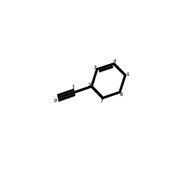 C#CC1C=[C]CCC1